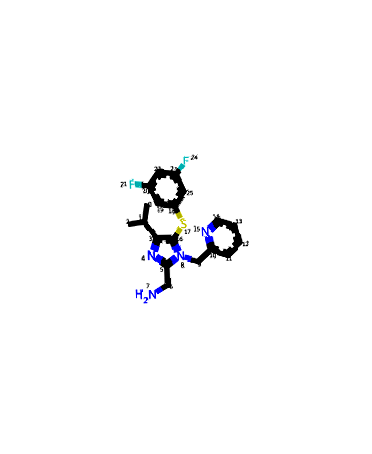 CC(C)c1nc(CN)n(Cc2ccccn2)c1Sc1cc(F)cc(F)c1